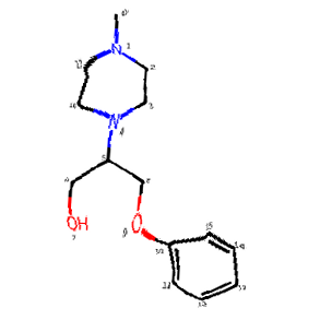 CN1CCN(C(CO)COc2ccccc2)CC1